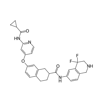 O=C(Nc1ccc2c(c1)C(F)(F)CNC2)C1CCc2ccc(Oc3ccnc(NC(=O)C4CC4)c3)cc2C1